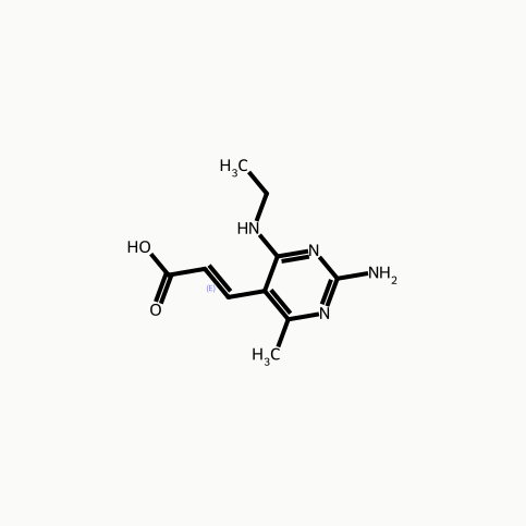 CCNc1nc(N)nc(C)c1/C=C/C(=O)O